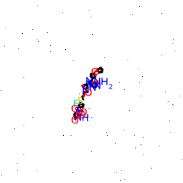 Nc1ncnc2c1c(-c1ccc(Oc3ccccc3)cc1)nn2[C@@H]1CCCN(C(=O)CCCCSc2ccc3c(c2F)C(=O)N(C2CCC(=O)NC2=O)C3=O)C1